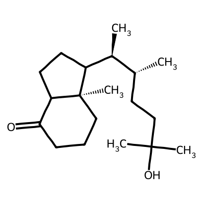 C[C@H](CCC(C)(C)O)[C@H](C)C1CCC2C(=O)CCC[C@@]21C